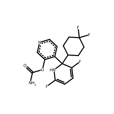 NC(=O)Oc1cnccc1C1(C2CCC(F)(F)CC2)NC(F)=CC=C1F